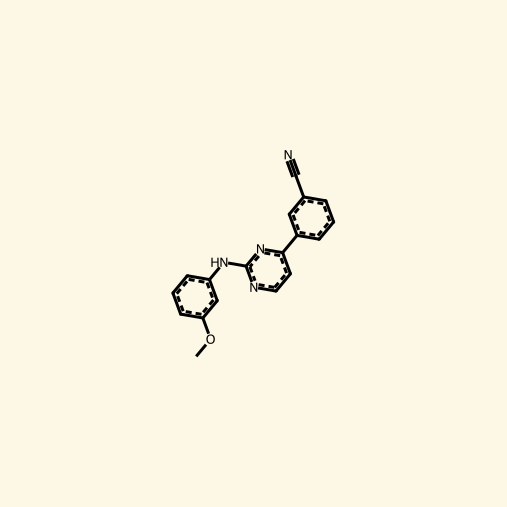 COc1cccc(Nc2nccc(-c3cccc(C#N)c3)n2)c1